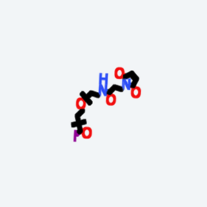 CC(C)(CCNC(=O)CCN1C(=O)C=CC1=O)OCCC(C)(C)C(=O)I